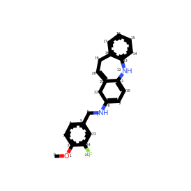 COc1ccc(CNC2=CC=C3Nc4ccccc4CC=C3C2)cc1F